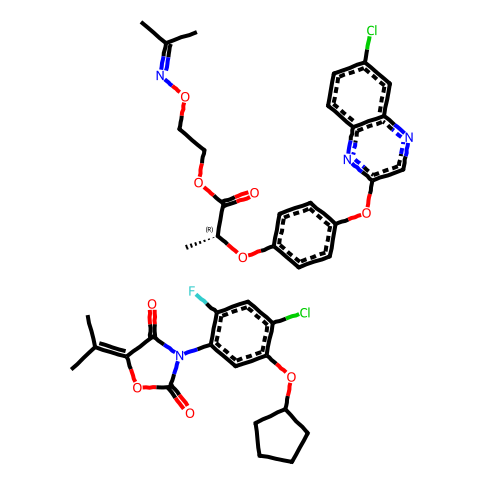 CC(C)=C1OC(=O)N(c2cc(OC3CCCC3)c(Cl)cc2F)C1=O.CC(C)=NOCCOC(=O)[C@@H](C)Oc1ccc(Oc2cnc3cc(Cl)ccc3n2)cc1